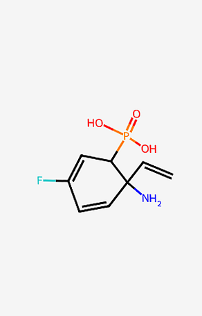 C=CC1(N)C=CC(F)=CC1P(=O)(O)O